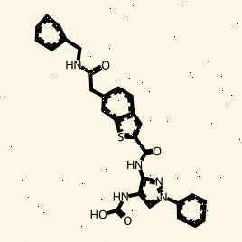 O=C(O)Nc1cn(-c2ccccc2)nc1NC(=O)c1cc2ccc(CC(=O)NCc3ccccc3)cc2s1